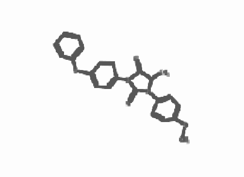 COc1ccc(N2C(=S)N(c3ccc(Oc4ccccc4)cc3)C(=O)C2C)cc1